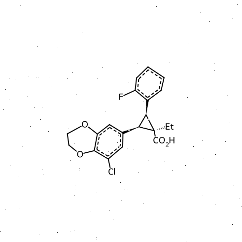 CC[C@@]1(C(=O)O)[C@H](c2ccccc2F)[C@@H]1c1cc(Cl)c2c(c1)OCCO2